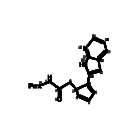 CCCC(C)NC(=O)Cn1cccc1-c1cc2cccnc2[nH]1